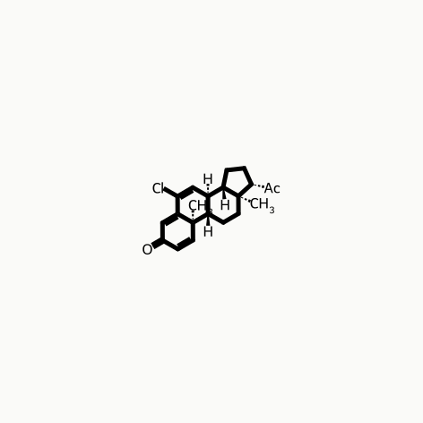 CC(=O)[C@H]1CC[C@H]2[C@@H]3C=C(Cl)C4=CC(=O)C=C[C@]4(C)[C@H]3CC[C@]12C